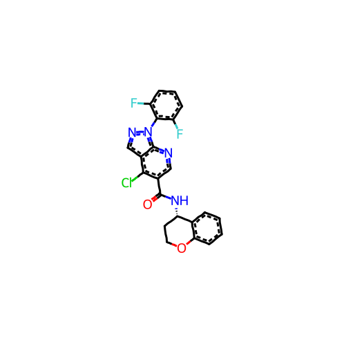 O=C(N[C@H]1CCOc2ccccc21)c1cnc2c(cnn2-c2c(F)cccc2F)c1Cl